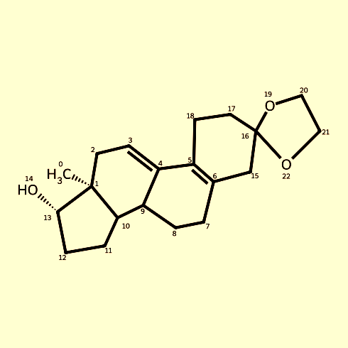 C[C@]12CC=C3C4=C(CCC3C1CC[C@@H]2O)CC1(CC4)OCCO1